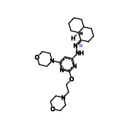 c1c(N/N=C2\CCCC3CCCC[C@H]23)nc(OCCN2CCOCC2)nc1N1CCOCC1